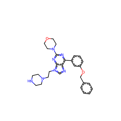 c1ccc(COc2cccc(-c3nc(N4CCOCC4)nc4c3ncn4CCN3CCNCC3)c2)cc1